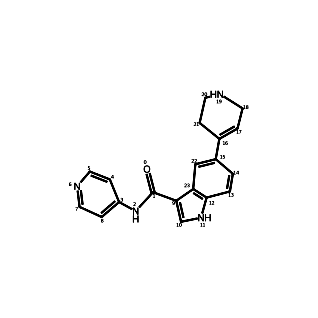 O=C(Nc1ccncc1)c1c[nH]c2ccc(C3=CCNCC3)cc12